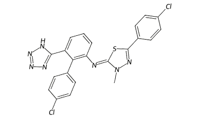 Cn1nc(-c2ccc(Cl)cc2)sc1=Nc1cccc(-c2nnn[nH]2)c1-c1ccc(Cl)cc1